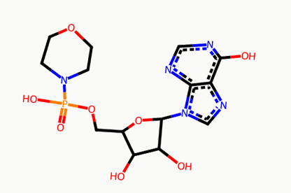 O=P(O)(OCC1OC(n2cnc3c(O)ncnc32)C(O)C1O)N1CCOCC1